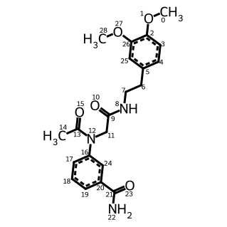 COc1ccc(CCNC(=O)CN(C(C)=O)c2cccc(C(N)=O)c2)cc1OC